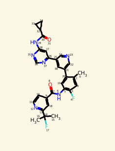 Cc1cc(F)c(NC(=O)c2ccnc(C(C)(C)F)c2)cc1-c1cncc(-c2cc(NC(=O)C3CC3)ncn2)c1